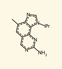 Cc1cc2cnc(N)nc2c2c1ncn2C(C)C